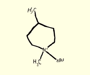 CC1CC[N+](C)(C(C)(C)C)CC1